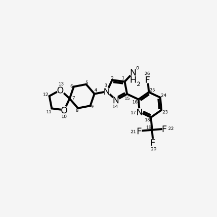 Nc1cn(C2CCC3(CC2)OCCO3)nc1-c1nc(C(F)(F)F)ccc1F